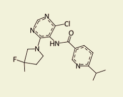 CC(C)c1ccc(C(=O)Nc2c(Cl)ncnc2N2CCC(C)(F)C2)cn1